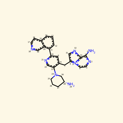 Nc1nccn2c(Cc3cc(-c4cccc5ccncc45)ncc3N3CCC[C@@H](N)C3)cnc12